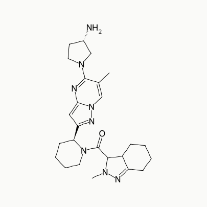 Cc1cn2nc([C@@H]3CCCCN3C(=O)C3C4CCCCC4=NN3C)cc2nc1N1CC[C@H](N)C1